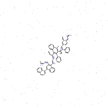 C=C/C(=C\C=C(/C)c1c(/C=C\C=C/C)cc(-c2cccc3ccccc23)c2ccccc12)c1c(-c2ccccc2)c(S/C(=C/C2=CC(I)/C(=C\C=C/C)C=C2)c2ccccc2)c(C)c2ccccc12